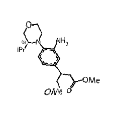 COCC(CC(=O)OC)c1ccc(N2CCOC[C@@H]2C(C)C)c(N)c1